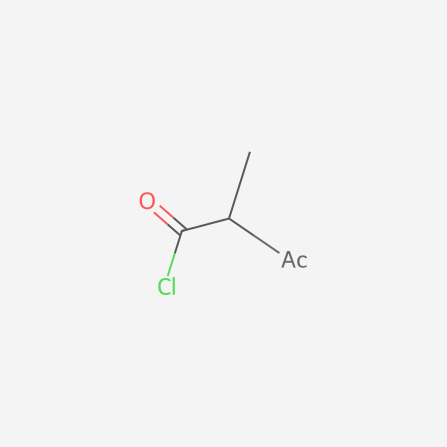 CC(=O)C(C)C(=O)Cl